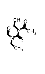 CCN(C=O)C(=S)N(CC)C(C)=O